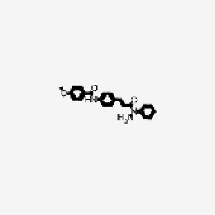 COc1ccc(C(=O)Nc2ccc(C=CC(=O)N(N)c3ccccc3)cc2)cc1